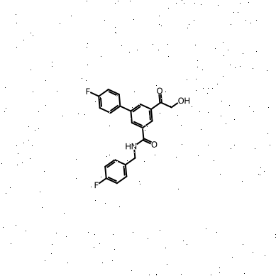 O=C(CO)c1cc(C(=O)NCc2ccc(F)cc2)cc(-c2ccc(F)cc2)c1